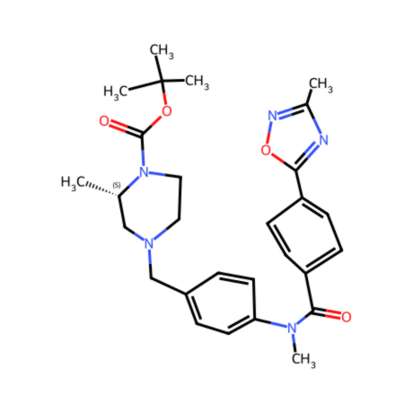 Cc1noc(-c2ccc(C(=O)N(C)c3ccc(CN4CCN(C(=O)OC(C)(C)C)[C@@H](C)C4)cc3)cc2)n1